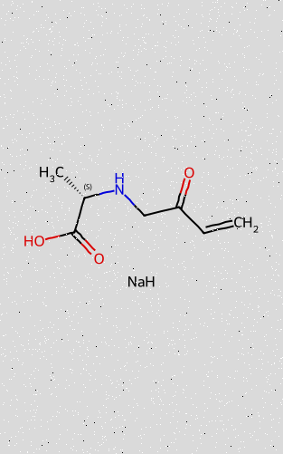 C=CC(=O)CN[C@@H](C)C(=O)O.[NaH]